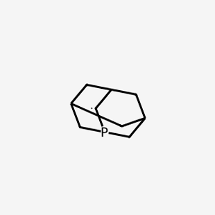 [CH]1C2CC3CC(C2)CP1C3